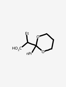 CCCC1(C(CC)C(=O)O)OCCCO1